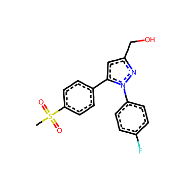 CS(=O)(=O)c1ccc(-c2cc(CO)nn2-c2ccc(F)cc2)cc1